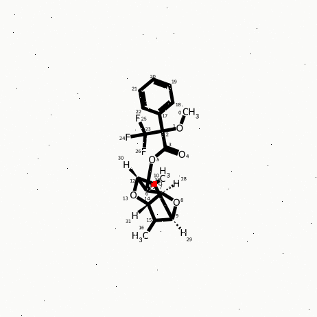 COC(C(=O)O[C@H]1[C@H]2O[C@@H]3C(C)[C@H]1O[C@H]2C3C)(c1ccccc1)C(F)(F)F